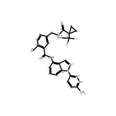 Cc1ccc(-n2ncc3c(NC(=O)c4cc(CNC(=O)C5(C(F)(F)F)CC5)ccc4Cl)cccc32)nn1